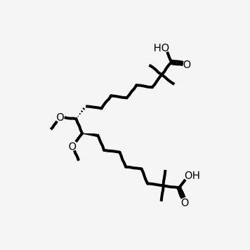 CO[C@H](CCCCCCC(C)(C)C(=O)O)[C@@H](CCCCCCC(C)(C)C(=O)O)OC